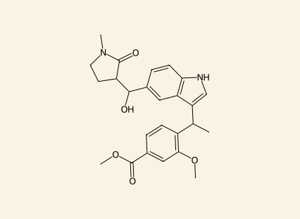 COC(=O)c1ccc(C(C)c2c[nH]c3ccc(C(O)C4CCN(C)C4=O)cc23)c(OC)c1